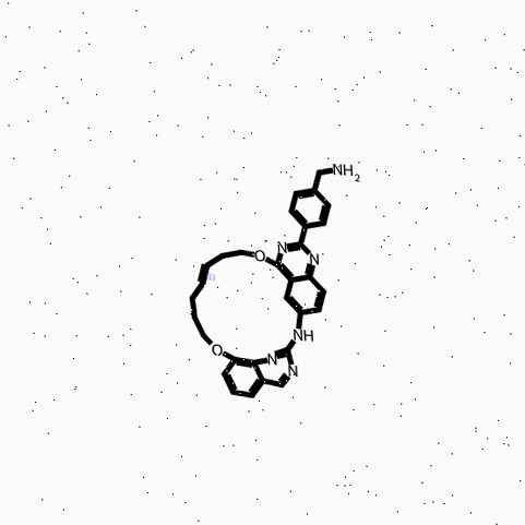 NCc1ccc(-c2nc3c4cc(ccc4n2)Nc2ncc4cccc(c4n2)OCCC/C=C/CCO3)cc1